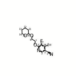 N#Cc1cnc(OCCOC2CCCCO2)c(F)c1I